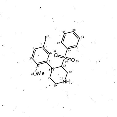 COc1ccc(F)cc1N1CCNCC1S(=O)(=O)c1ccccc1